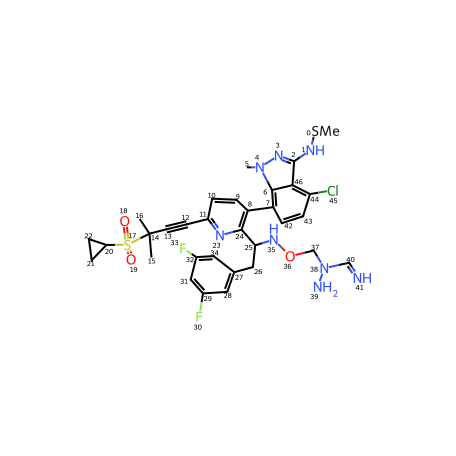 CSNc1nn(C)c2c(-c3ccc(C#CC(C)(C)S(=O)(=O)C4CC4)nc3C(Cc3cc(F)cc(F)c3)NOCN(N)C=N)ccc(Cl)c12